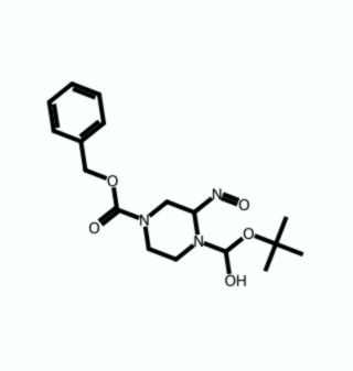 CC(C)(C)OC(O)N1CCN(C(=O)OCc2ccccc2)CC1N=O